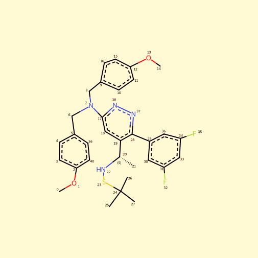 COc1ccc(CN(Cc2ccc(OC)cc2)c2cc([C@H](C)NSC(C)(C)C)c(-c3cc(F)cc(F)c3)nn2)cc1